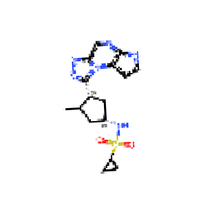 CC1C[C@@H](NS(=O)(=O)C2CC2)C[C@H]1c1nnc2cnc3[nH]ccc3n12